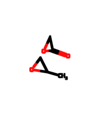 CC1CO1.O=C1CO1